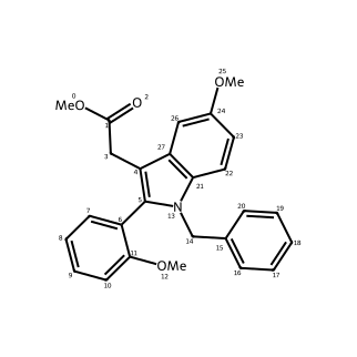 COC(=O)Cc1c(-c2ccccc2OC)n(Cc2ccccc2)c2ccc(OC)cc12